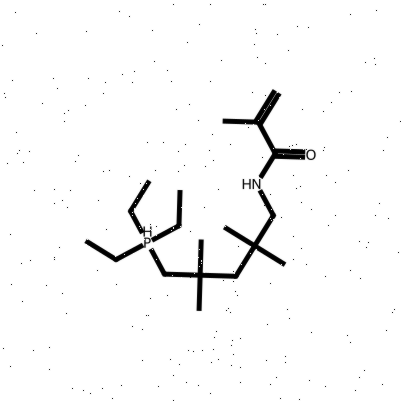 C=C(C)C(=O)NCC(C)(C)CC(C)(C)C[PH](CC)(CC)CC